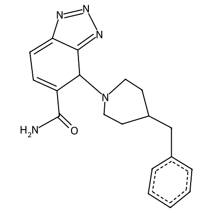 NC(=O)C1=CC=C2N=NN=C2C1N1CCC(Cc2ccccc2)CC1